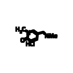 CNCc1ccc(=O)n(C)c1.Cl